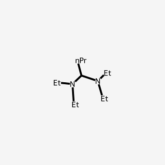 CCCC(N(CC)CC)N(CC)CC